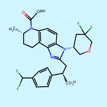 COC(=O)N1c2ccc3c(nc(C[C@@H](C(=O)O)c4ccc(C(F)F)cc4)n3[C@H]3COCC(F)(F)C3)c2CC[C@@H]1C